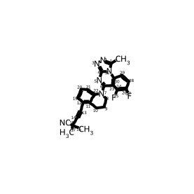 Cc1nnc2nc(N3CCCc4c(C#CC(C)(C)C#N)cccc43)c3c(F)c(F)ccc3n12